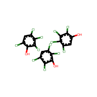 Oc1c(Cl)c(Cl)cc(Cl)c1Cl.Oc1c(Cl)cc(Cl)c(Cl)c1Cl.Oc1cc(Cl)c(Cl)c(Cl)c1Cl